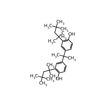 CC(C)(C)CC(C)(C)c1cc(C(C)(C)c2ccc(O)c(C(C)(C)CC(C)(C)C)c2)ccc1O